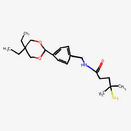 CCC1(CC)COC(c2ccc(CNC(=O)CCC(C)(C)S)cc2)OC1